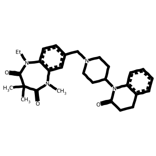 CCN1C(=O)C(C)(C)C(=O)N(C)c2cc(CN3CCC(N4C(=O)CCc5ccccc54)CC3)ccc21